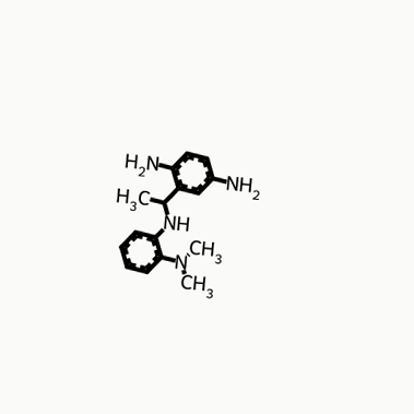 CC(Nc1ccccc1N(C)C)c1cc(N)ccc1N